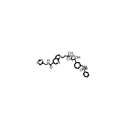 CC(C)(CCn1ccc2cc(C(=O)NCc3cncs3)cnc21)NC[C@H](O)c1cccc(NS(=O)(=O)c2ccccc2)c1